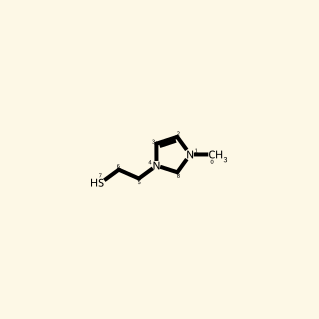 CN1C=CN(CCS)C1